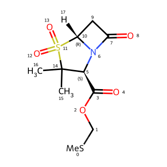 CSCOC(=O)[C@@H]1N2C(=O)C[C@H]2S(=O)(=O)C1(C)C